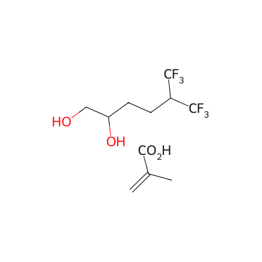 C=C(C)C(=O)O.OCC(O)CCC(C(F)(F)F)C(F)(F)F